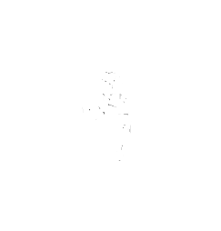 Nc1nc(-c2ccco2)nc2sc(CN3CCC(=O)CC3)cc12